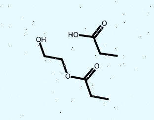 CCC(=O)O.CCC(=O)OCCO